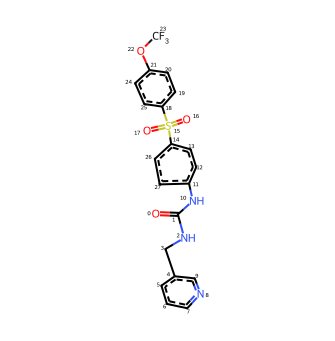 O=C(NCc1cccnc1)Nc1ccc(S(=O)(=O)c2ccc(OC(F)(F)F)cc2)cc1